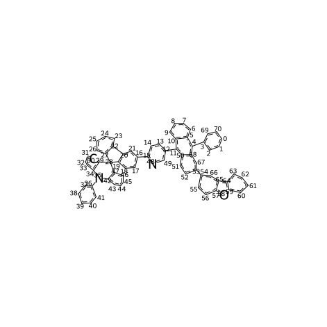 c1ccc(-c2c3ccccc3c(-c3ccc(-c4ccc5c(c4)-c4ccccc4C54c5ccccc5N(c5ccccc5)c5ccccc54)nc3)c3ccc(-c4ccc5oc6ccccc6c5c4)cc23)cc1